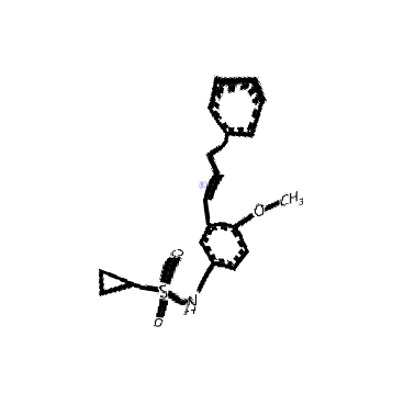 COc1ccc(NS(=O)(=O)C2CC2)cc1/C=C/Cc1ccccc1